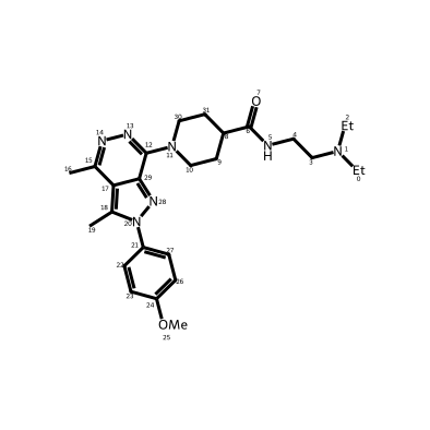 CCN(CC)CCNC(=O)C1CCN(c2nnc(C)c3c(C)n(-c4ccc(OC)cc4)nc23)CC1